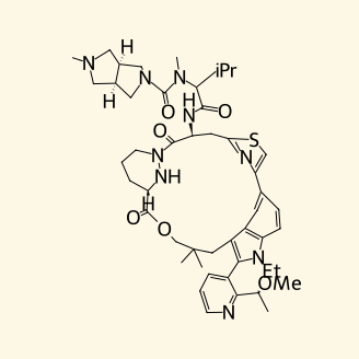 CCn1c(-c2cccnc2[C@H](C)OC)c2c3cc(ccc31)-c1csc(n1)C[C@H](NC(=O)C(C(C)C)N(C)C(=O)N1C[C@H]3CN(C)C[C@H]3C1)C(=O)N1CCC[C@H](N1)C(=O)OCC(C)(C)C2